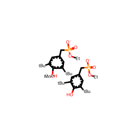 CCOP(=O)([O-])Cc1cc(C(C)(C)C)c(O)c(C(C)(C)C)c1.CCOP(=O)([O-])Cc1cc(C(C)(C)C)c(O)c(C(C)(C)C)c1.[Mn+2]